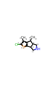 Cc1c(Cl)sc2c1C(C)C1CNCC21